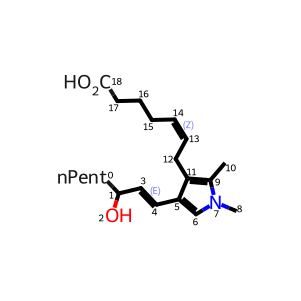 CCCCCC(O)/C=C/c1cn(C)c(C)c1C/C=C\CCCC(=O)O